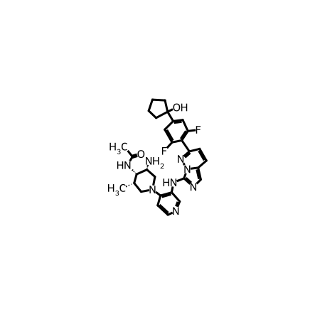 CC(=O)N[C@@H]1[C@H](N)CN(c2ccncc2Nc2ncc3ccc(-c4c(F)cc(C5(O)CCCC5)cc4F)nn23)C[C@@H]1C